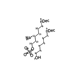 CCCCCCCCCCCCCCCCO.CCCCCCCCCCCCCCCCOS(=O)(=O)[O-].[Na+]